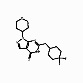 O=c1[nH]c(CC2CCC(F)(F)CC2)nc2c1cnn2C1CCOCC1